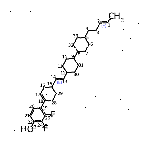 C/C=C/CCC1CCC(C2CCC(/C=C/C3CC=C(c4ccc(O)c(F)c4F)CC3)CC2)CC1